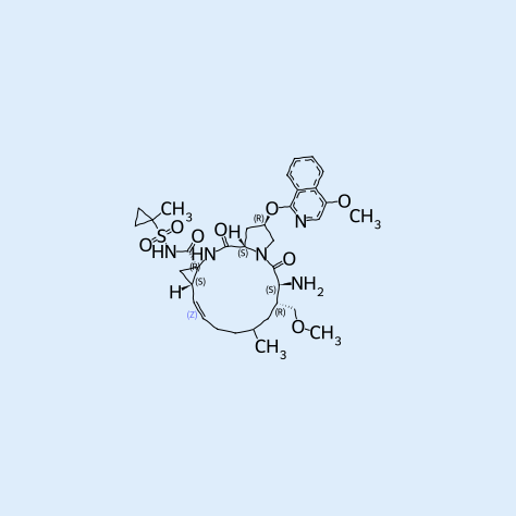 COC[C@@H]1CC(C)CC/C=C\[C@@H]2C[C@@]2(C(=O)NS(=O)(=O)C2(C)CC2)NC(=O)[C@@H]2C[C@@H](Oc3ncc(OC)c4ccccc34)CN2C(=O)[C@H]1N